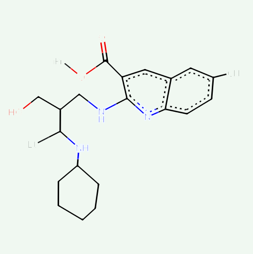 CCC(NC1CCCCC1)C(CO)CNc1nc2ccc(C)cc2cc1C(=O)OC(C)C